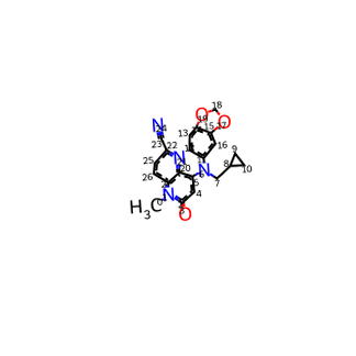 Cn1c(=O)cc(N(CC2CC2)c2ccc3c(c2)OCO3)c2nc(C#N)ccc21